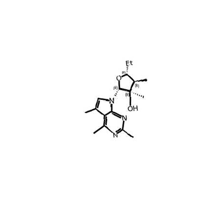 CC[C@H]1O[C@@H](n2cc(C)c3c(C)nc(C)nc32)[C@](C)(O)[C@@H]1C